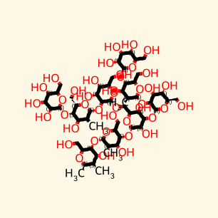 CC1C(O)[C@H](O[C@@H]2OC(CO)[C@H](O)C(O)[C@@H]2O)[C@H](CO)O[C@H]1OC1[C@@H](OCC2O[C@@H](O[C@@H]3C(CO)O[C@@H](O[C@@H]4C(CO)O[C@@H](C)[C@@H](C)C4O)[C@@H](C)C3O)[C@H](O)C(O[C@H]3O[C@H](CO)[C@@H](O)C(O)C3O[C@@H]3OC(CO)[C@@H](O[C@@H]4OC(CO)[C@H](O)C(O)[C@@H]4O)C(O)[C@@H]3C)[C@@H]2O)OC(CO)[C@@H](O)[C@@H]1O